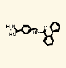 N=C(N)c1ccc(CNC(=O)c2ccccc2-c2ccccc2)cc1